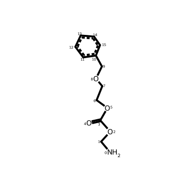 NCOC(=O)OCCOCc1ccccc1